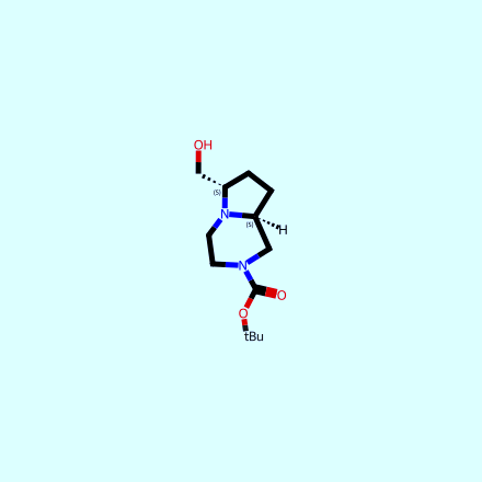 CC(C)(C)OC(=O)N1CCN2[C@H](CO)CC[C@H]2C1